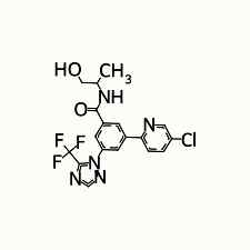 CC(CO)NC(=O)c1cc(-c2ccc(Cl)cn2)cc(-n2ncnc2C(F)(F)F)c1